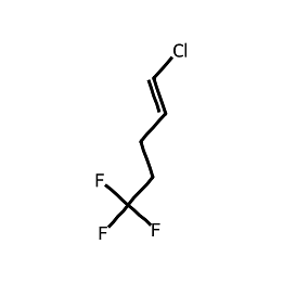 FC(F)(F)CCC=CCl